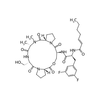 CCCC/C=C/C(=O)N[C@@H](Cc1cc(F)cc(F)c1)C(=O)N[C@H]1COC(=O)[C@@H]2CCCN2C(=O)[C@H](CO)NC(=O)[C@H](C)N(C)C(=O)[C@@H]2CCCN2C1=O